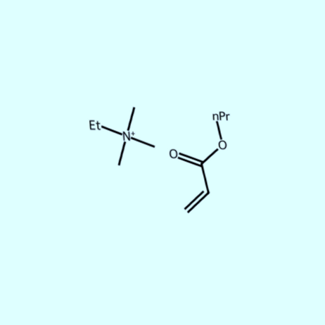 C=CC(=O)OCCC.CC[N+](C)(C)C